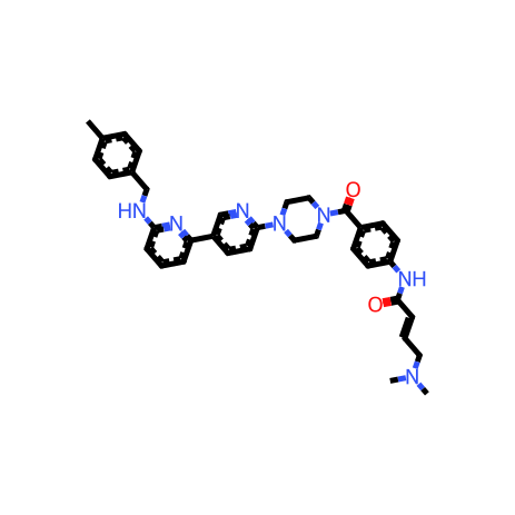 Cc1ccc(CNc2cccc(-c3ccc(N4CCN(C(=O)c5ccc(NC(=O)/C=C/CN(C)C)cc5)CC4)nc3)n2)cc1